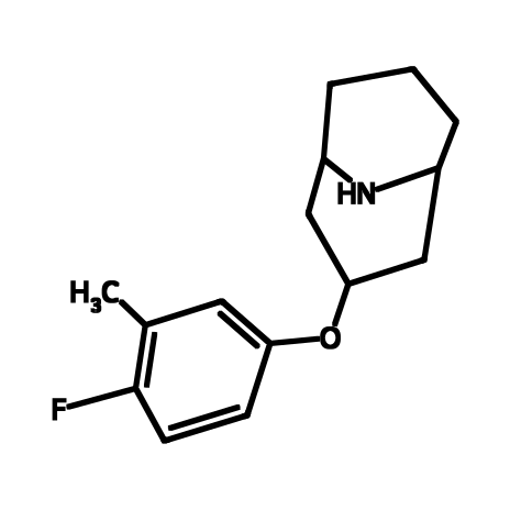 Cc1cc(OC2CC3CCCC(C2)N3)ccc1F